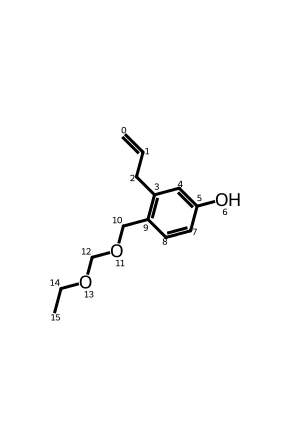 C=CCc1cc(O)ccc1COCOCC